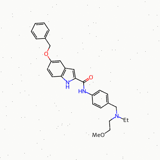 CCN(CCOC)Cc1ccc(NC(=O)c2cc3cc(OCc4ccccc4)ccc3[nH]2)cc1